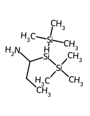 CCC(N)[SiH]([Si](C)(C)C)[Si](C)(C)C